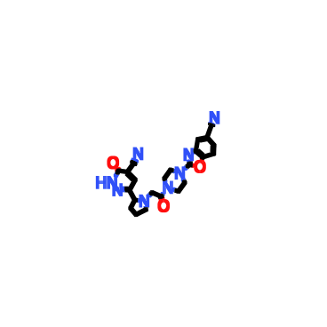 N#Cc1ccc2oc(N3CCN(C(=O)CN4CCCC4c4cc(C#N)c(=O)[nH]n4)CC3)nc2c1